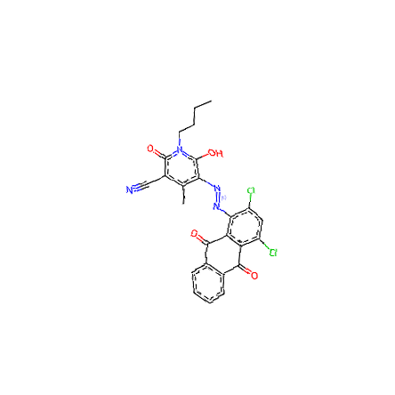 CCCCn1c(O)c(/N=N/c2c(Cl)cc(Cl)c3c2C(=O)c2ccccc2C3=O)c(C)c(C#N)c1=O